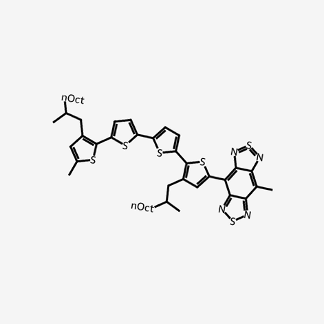 CCCCCCCCC(C)Cc1cc(C)sc1-c1ccc(-c2ccc(-c3sc(-c4c5c(c(C)c6nsnc46)N=S=N5)cc3CC(C)CCCCCCCC)s2)s1